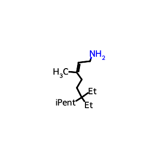 CCCC(C)C(CC)(CC)CC/C(C)=C\CN